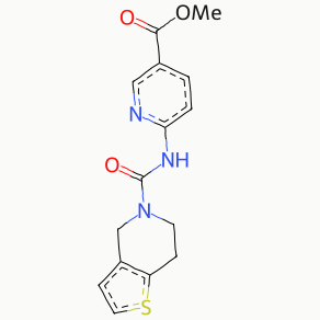 COC(=O)c1ccc(NC(=O)N2CCc3sccc3C2)nc1